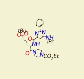 CCOC(=O)N1CCN(C(=O)[C@H](CCCC(=O)OC(C)(C)C)NC(=O)c2cc(NC(C)C)nc(-c3ccccc3)n2)CC1